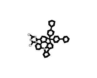 Clc1nc(Cl)nc(-c2ccc3c4c2-c2ccccc2-n2c5ccccc5c5ccc(c-4c52)C3(c2ccc(-c3ccccc3)cc2)c2ccc(-c3ccccc3)cc2)n1